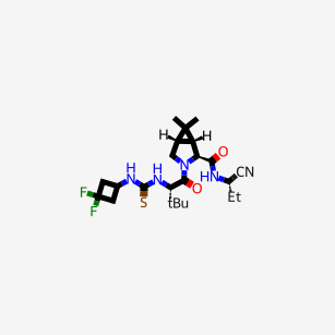 CC[C@@H](C#N)NC(=O)[C@@H]1[C@@H]2[C@H](CN1C(=O)[C@@H](NC(=S)NC1CC(F)(F)C1)C(C)(C)C)C2(C)C